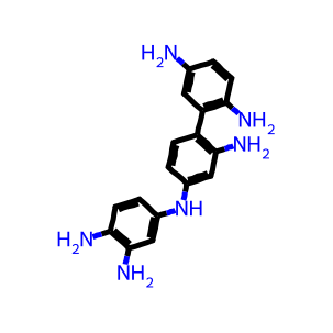 Nc1ccc(N)c(-c2ccc(Nc3ccc(N)c(N)c3)cc2N)c1